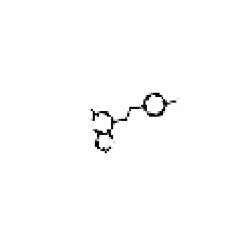 O=C(O)c1cc(CCc2ccc(F)cc2)c2[nH]ccc2n1